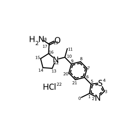 Cc1ncsc1-c1ccc(C(C)N2CCCC2C(N)=O)cc1.Cl